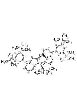 CC1=Cc2c(-c3cc(C(C)(C)C)cc(C(C)(C)C)c3)cccc2[CH]1[Zr]([CH]1C(C)=Cc2c(-c3cc(C(C)(C)C)cc(C(C)(C)C)c3)cccc21)[SiH](C)C